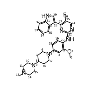 COc1cc(N2CCC(N3CCN(C)CC3)CC2)ccc1Nc1ncc(F)c(-c2c[nH]c3ccccc23)n1